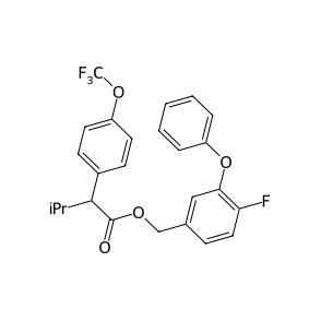 CC(C)C(C(=O)OCc1ccc(F)c(Oc2ccccc2)c1)c1ccc(OC(F)(F)F)cc1